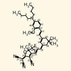 CCCCN(CCCC)c1ccc(/C=C/C2=CC(=CC=CC3=C(C#N)C(=C(C#N)C#N)OC3(C)C(F)(F)F)CC(C)(C)C2)c(OC)c1